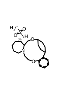 CS(=O)(=O)N[C@H]1CCCCN2CCOc3ccccc3C3CCC(CC3)OCC12